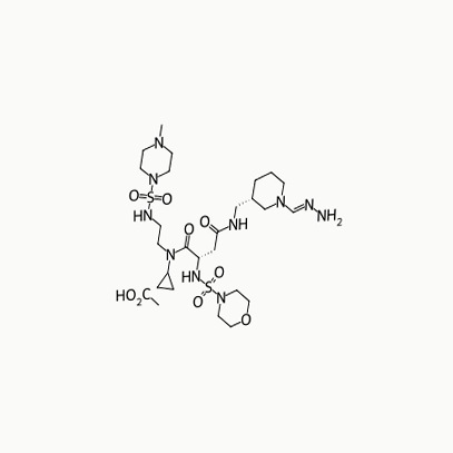 CC(=O)O.CN1CCN(S(=O)(=O)NCCN(C(=O)[C@H](CC(=O)NC[C@@H]2CCCN(C=NN)C2)NS(=O)(=O)N2CCOCC2)C2CC2)CC1